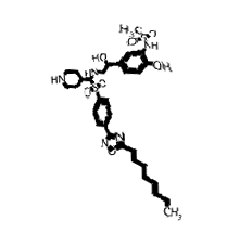 CCCCCCCCc1nc(-c2ccc(S(=O)(=O)C(NCC(O)c3ccc(O)c(NS(C)(=O)=O)c3)C3CCNCC3)cc2)no1